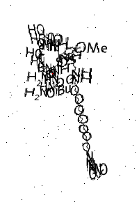 CC[C@H](C)[C@H](NC(=O)CN)C(=O)NCC(=O)N[C@H]1C[S+]([O-])c2[nH]c3c(CSCCCCNC(=O)NCCOCCOCCOCCOCCOCCOCCOCCn4cc(CN5C(=O)C=CC5=O)nn4)c(OC)ccc3c2C[C@@H](CO)NC(=O)[C@H]([C@@H](C)[C@@H](O)CO)NC(=O)C[C@@H](O)CNC(=O)[C@H](CC(N)=O)NC1=O